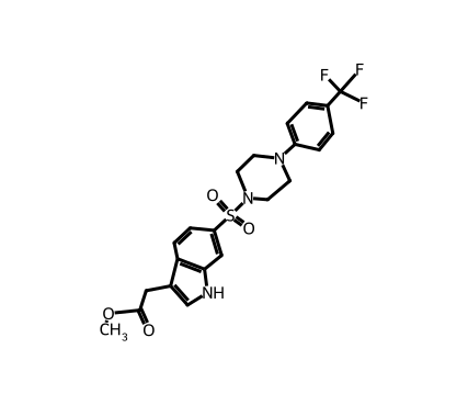 COC(=O)Cc1c[nH]c2cc(S(=O)(=O)N3CCN(c4ccc(C(F)(F)F)cc4)CC3)ccc12